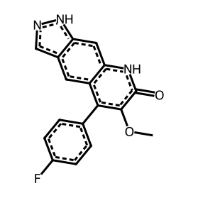 COc1c(-c2ccc(F)cc2)c2cc3cn[nH]c3cc2[nH]c1=O